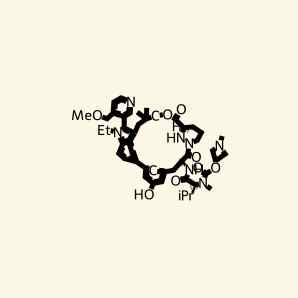 CCn1c(-c2cnccc2COC)c2c3cc(ccc31)-c1cc(O)cc(c1)C[C@H](NC(=O)[C@H](C(C)C)N(C)C(=O)OC1CN(C)C1)C(=O)N1CCC[C@H](N1)C(=O)OCC(C)(C)C2